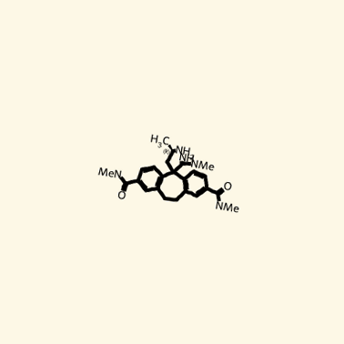 CNC(=N)C1(C[C@@H](C)N)c2ccc(C(=O)NC)cc2CCc2cc(C(=O)NC)ccc21